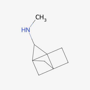 CNC1C23CC4(CCC142)C3